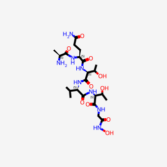 CC(C)[C@H](NC(=O)[C@@H](NC(=O)[C@H](CCC(N)=O)NC(=O)[C@H](C)N)C(C)O)C(=O)N[C@H](C(=O)NCC(=O)NO)C(C)O